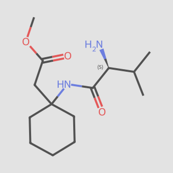 COC(=O)CC1(NC(=O)[C@@H](N)C(C)C)CCCCC1